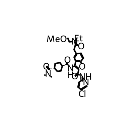 CCN(CCOC)C(=O)Cc1ccc2oc(C(=O)Nc3ccc(Cl)cn3)c(NC(=O)[C@H]3CC[C@H](C(=O)N(C)C)CC3)c2c1